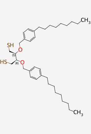 CCCCCCCCCc1ccc(CO[C@@H](CS)[C@@H](CS)OCc2ccc(CCCCCCCCC)cc2)cc1